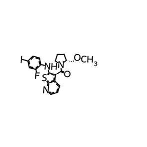 COC[C@H]1CCCN1C(=O)c1c(Nc2ccc(I)cc2F)sc2ncccc12